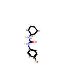 O=C(Nc1ccc(S)cc1)NC1CCCCC1